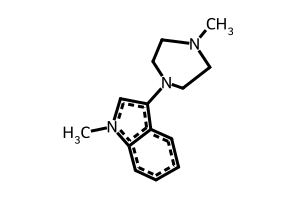 CN1CCN(c2cn(C)c3ccccc23)CC1